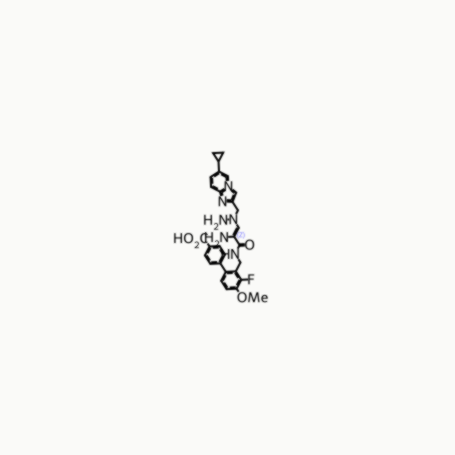 COc1ccc(-c2ccc(C(=O)O)cc2)c(CNC(=O)/C(N)=C/N(N)Cc2cn3cc(C4CC4)ccc3n2)c1F